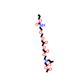 CCCOC(=O)NCCOCCOCC(=O)COCC(=O)OCCN(CCOC(C)=O)CC(C)=O